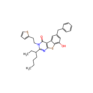 CCCCC(CC)c1nc2sc3c(O)cc(Cc4ccccc4)cc3c2c(=O)n1CCc1cccs1